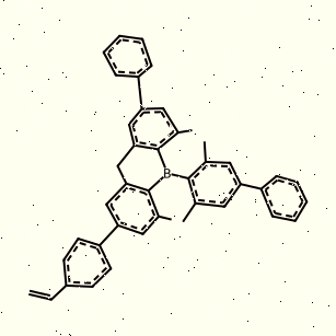 C=Cc1ccc(-c2cc(C)c3c(c2)Cc2cc(-c4ccccc4)cc(C)c2B3c2c(C)cc(-c3ccccc3)cc2C)cc1